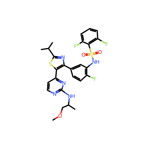 COCC(C)Nc1nccc(-c2sc(C(C)C)nc2-c2ccc(F)c(NS(=O)(=O)c3c(F)cccc3F)c2)n1